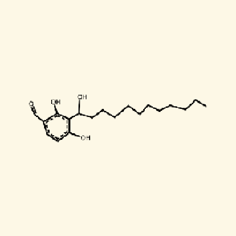 CCCCCCCCCCCC(O)c1c(O)ccc(C=O)c1O